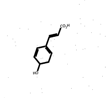 O=C(O)C=CC1=CCC(O)C=C1